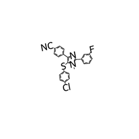 Cn1c(-c2cccc(F)c2)nc(-c2ccc(C#N)cc2)c1Sc1ccc(Cl)cc1